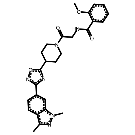 COc1ccccc1C(=O)NCC(=O)N1CCC(c2nc(-c3ccc4c(C)nn(C)c4c3)no2)CC1